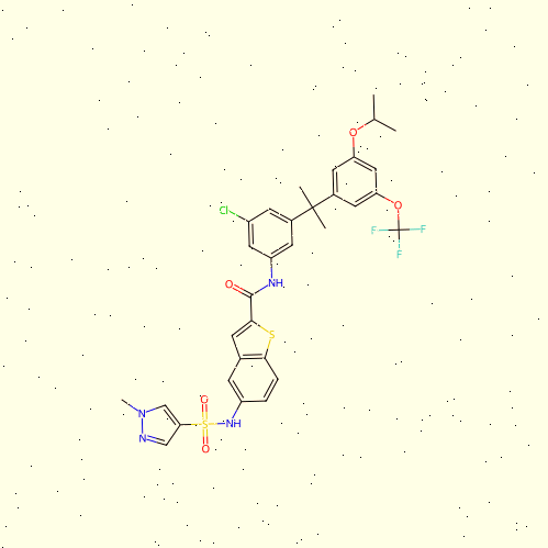 CC(C)Oc1cc(OC(F)(F)F)cc(C(C)(C)c2cc(Cl)cc(NC(=O)c3cc4cc(NS(=O)(=O)c5cnn(C)c5)ccc4s3)c2)c1